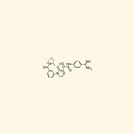 CC1CC[C@@H](C)N1C(=O)c1cccc(N2CCO[C@H]([C@@H](O)C(=O)Nc3ccc(C(=N)N)cc3)C2=O)c1